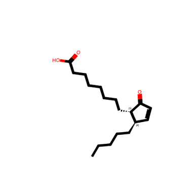 CCCCC[C@@H]1C=CC(=O)[C@H]1CCCCCCCC(=O)O